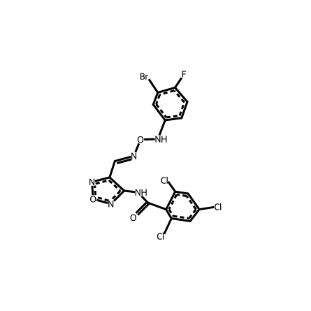 O=C(Nc1nonc1/C=N/ONc1ccc(F)c(Br)c1)c1c(Cl)cc(Cl)cc1Cl